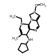 CCN1C=C(C)C(NC2CCCC2)C2=C1N1CN(OC)C=C1C=N2